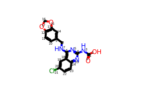 O=C(O)Nc1nc(NCc2ccc3c(c2)OCO3)c2cc(Cl)ccc2n1